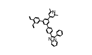 C=Cc1ccc(-c2cc(-c3ccc(-c4nc5ccccn5c4-c4ccccc4)cc3)cc(-c3cc(C)nc(C)c3)c2)cc1C=C